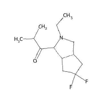 CCN1CC2CC(F)(F)CC2C1C(=O)C(C)C